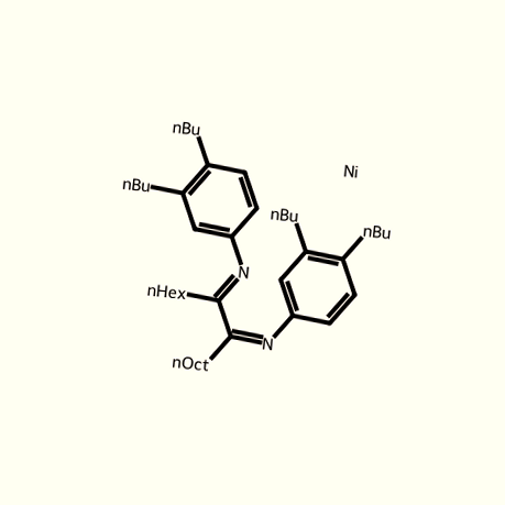 CCCCCCCCC(=Nc1ccc(CCCC)c(CCCC)c1)C(CCCCCC)=Nc1ccc(CCCC)c(CCCC)c1.[Ni]